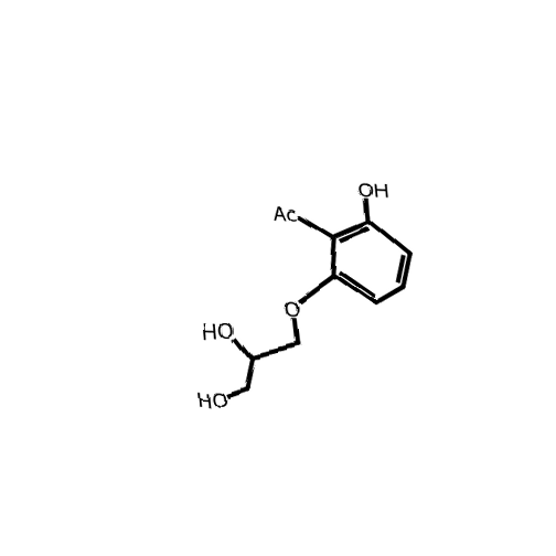 CC(=O)c1c(O)cccc1OCC(O)CO